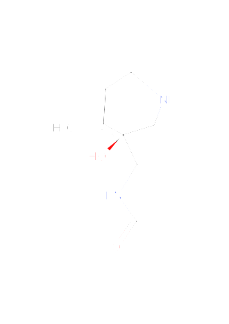 C[C@@H]1CCNC[C@]1(O)CNC=O